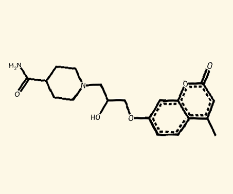 Cc1cc(=O)oc2cc(OCC(O)CN3CCC(C(N)=O)CC3)ccc12